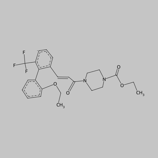 CCOC(=O)N1CCN(C(=O)/C=C/c2cc[c]c(C(F)(F)F)c2-c2ccccc2OCC)CC1